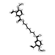 C=Cc1cc(C(=O)OCCCCCCOC(=O)c2ccc(OC(C)C)c(C=C)c2)ccc1OC(C)C